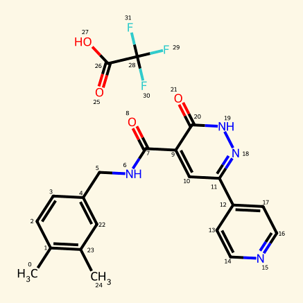 Cc1ccc(CNC(=O)c2cc(-c3ccncc3)n[nH]c2=O)cc1C.O=C(O)C(F)(F)F